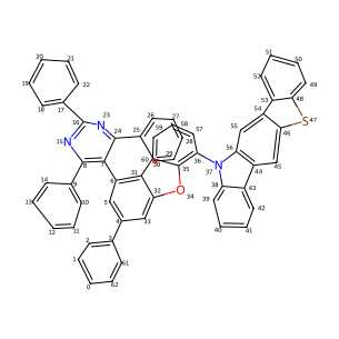 c1ccc(-c2cc(-c3c(-c4ccccc4)nc(-c4ccccc4)nc3-c3ccccc3)c3c(c2)oc2c(-n4c5ccccc5c5cc6sc7ccccc7c6cc54)cccc23)cc1